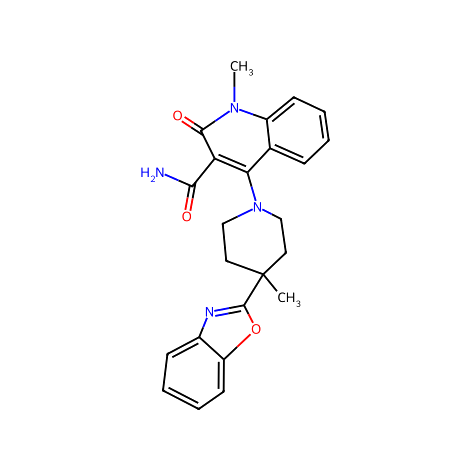 Cn1c(=O)c(C(N)=O)c(N2CCC(C)(c3nc4ccccc4o3)CC2)c2ccccc21